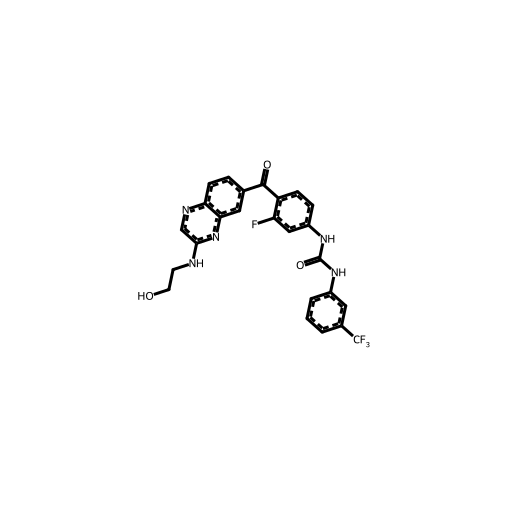 O=C(Nc1cccc(C(F)(F)F)c1)Nc1ccc(C(=O)c2ccc3ncc(NCCO)nc3c2)c(F)c1